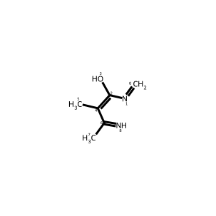 C=N/C(O)=C(/C)C(C)=N